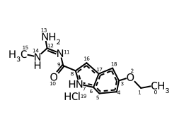 CCOc1ccc2[nH]c(C(=O)N=C(N)NC)cc2c1.Cl